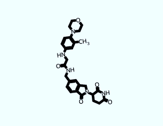 Cc1cc(NCC(=O)NCc2ccc3c(c2)CN(C2CCC(=O)NC2=O)C3=O)ccc1N1CCOCC1